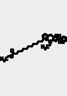 CCOC(=O)CCCCCCCCCCCC1=NC(=Cc2[nH]c(-c3ccc[nH]3)cc2OCC)C=C1